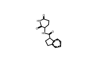 O=C1CCC(NC(=O)C2CCc3ccccc32)C(=O)N1